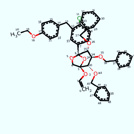 C=CO[C@@]12CO[C@@](c3ccc(Cl)c(Cc4ccc(OCC)cc4)c3)(O1)[C@H](OCc1ccccc1)[C@@H](OCc1ccccc1)[C@@H]2OCc1ccccc1